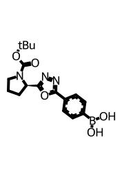 CC(C)(C)OC(=O)N1CCC[C@@H]1c1nnc(-c2ccc(B(O)O)cc2)o1